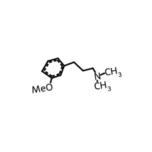 COc1cccc(CCCN(C)C)c1